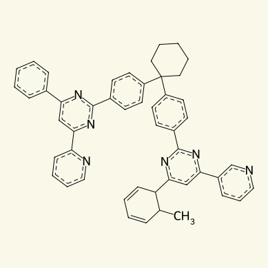 CC1C=CC=CC1c1cc(-c2cccnc2)nc(-c2ccc(C3(c4ccc(-c5nc(-c6ccccc6)cc(-c6ccccn6)n5)cc4)CCCCC3)cc2)n1